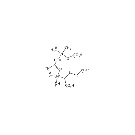 CCCCCCCCCCCCC(C(=O)O)[N+]1(O)C=CN=C1.C[N+](C)(C)CC(=O)O